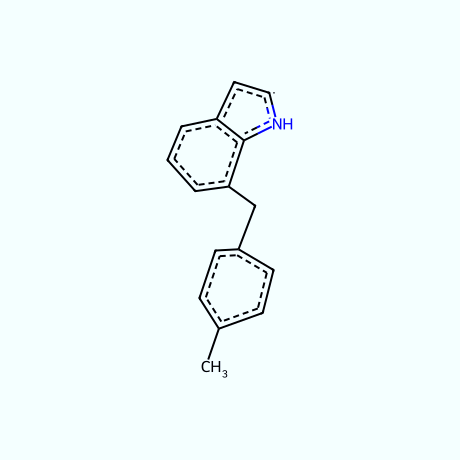 Cc1ccc(Cc2cccc3c[c][nH]c23)cc1